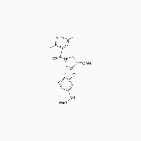 COC1CN(C(=O)c2cc(C)ccc2C)C[C@H]1Oc1cccc(NSC)c1